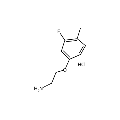 Cc1ccc(OCCN)cc1F.Cl